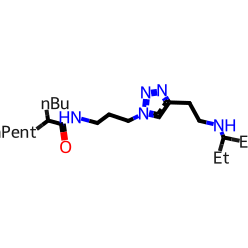 CCCCCC(CCCC)C(=O)NCCCn1cc(CCNC(CC)CC)nn1